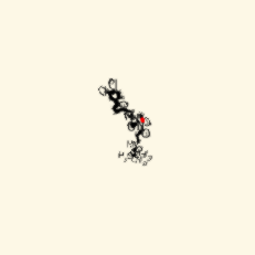 CC(C)(C)OC(=O)NCCC(=O)N1C(=O)CN(N=Cc2ccc(-c3ccc(Cl)c(Cl)c3)o2)C1=O